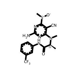 C[C@@H](C(=O)Nc1cccc(C(F)(F)F)c1)N(C)c1nc(N)nc([S+](C)[O-])c1C#N